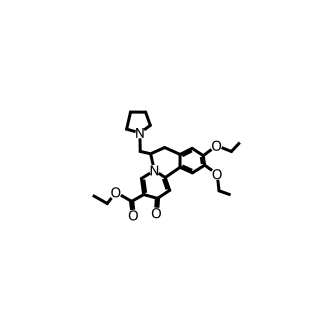 CCOC(=O)c1cn2c(cc1=O)-c1cc(OCC)c(OCC)cc1CC2CN1CCCC1